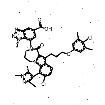 Cc1cc(OCCCc2c3n(c4c(-c5c(C)nn(C)c5C)c(Cl)ccc24)CCCN(c2cc(C(=O)O)cc4nnn(C)c24)C3=O)cc(C)c1Cl